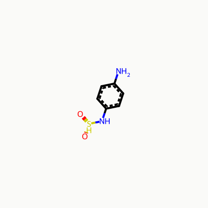 Nc1ccc(N[SH](=O)=O)cc1